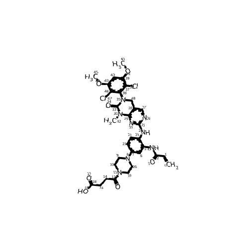 C=CC(=O)Nc1cc(N2CCN(C(=O)CCC(=O)O)CC2)ccc1Nc1ncc2c(n1)N(C)C(=O)N(c1c(Cl)c(OC)cc(OC)c1Cl)C2